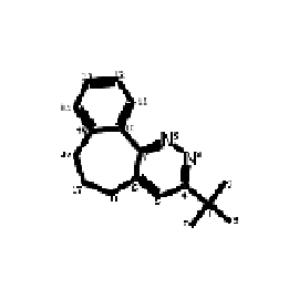 CC(C)(C)c1cc2c(nn1)-c1ccccc1CCC2